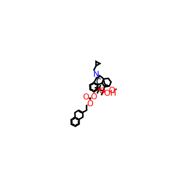 COC12CCC3(CC1C(C)(O)C(C)(C)C)C1N(CC4CC4)C14CC31c3c4ccc(OC(=O)OCCC4=CCc5ccccc5C4)c3OC21